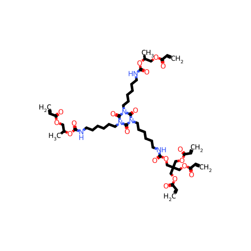 C=CC(=O)OCC(C)OC(=O)NCCCCCCn1c(=O)n(CCCCCCNC(=O)OCC(COC(=O)C=C)(COC(=O)C=C)COC(=O)C=C)c(=O)n(CCCCCCNC(=O)OC(C)COC(=O)C=C)c1=O